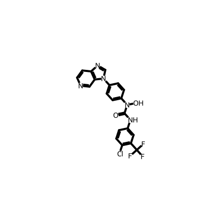 O=C(Nc1ccc(Cl)c(C(F)(F)F)c1)N(O)c1ccc(-n2cnc3ccncc32)cc1